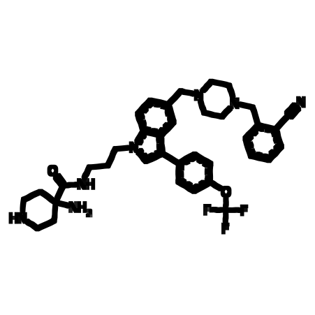 N#Cc1ccccc1CN1CCN(Cc2ccc3c(c2)c(-c2ccc(OC(F)(F)F)cc2)cn3CCCNC(=O)C2(N)CCNCC2)CC1